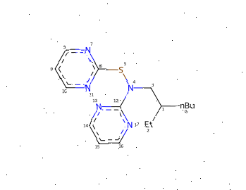 CCCCC(CC)CN(Sc1ncccn1)c1ncccn1